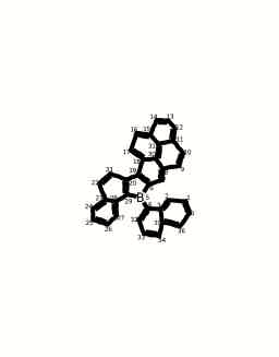 c1ccc2c(B3c4cc5ccc6cccc7ccc(c4-c4ccc8ccccc8c43)c5c67)cccc2c1